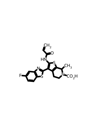 C=CC(=O)Nc1sc2c(c1-c1nc3cc(F)ccc3s1)CCN(C(=O)O)C2C